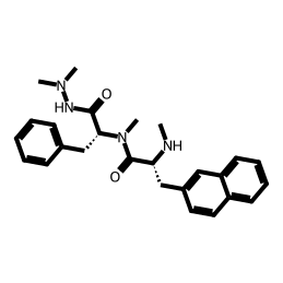 CN[C@H](Cc1ccc2ccccc2c1)C(=O)N(C)[C@H](Cc1ccccc1)C(=O)NN(C)C